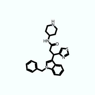 O=C(CC(c1cscn1)c1cn(Cc2ccccc2)c2ccccc12)NC1CCNCC1